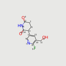 O=C1CCC(c2cnc(F)c(CO)c2)C(=O)N1